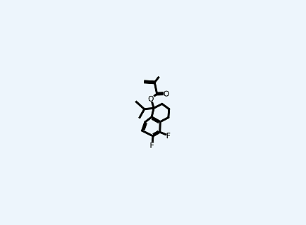 C=C(C)C(=O)OC1(C(C)C)CCCc2c1ccc(F)c2F